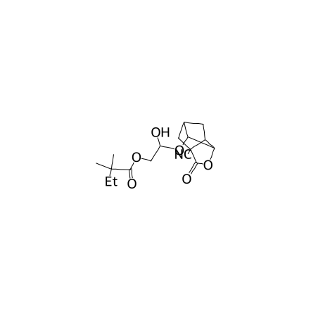 CCC(C)(C)C(=O)OCC(O)OC1C2CC3C1OC(=O)C3(C#N)C2